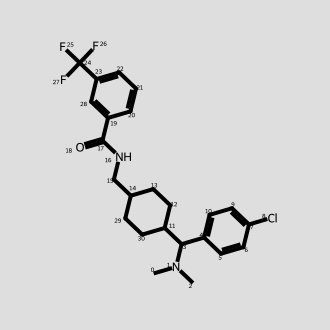 CN(C)C(c1ccc(Cl)cc1)C1CCC(CNC(=O)c2cccc(C(F)(F)F)c2)CC1